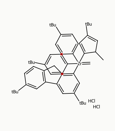 Cl.Cl.[CH2]=[Zr]([C]1=CC(C(C)(C)C)=CC1C)([c]1ccc(C(C)(C)C)cc1)([c]1ccc(C(C)(C)C)cc1)[c]1cc(C(C)(C)C)cc2c1Cc1ccc(C(C)(C)C)cc1-2